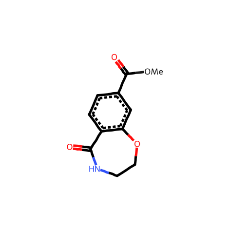 COC(=O)c1ccc2c(c1)OCCNC2=O